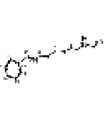 CC(=O)CNCCCCCCN=Cc1ccccc1